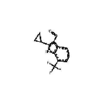 O=Cc1c(C2CC2)[nH]c2c(C(F)(F)F)cccc12